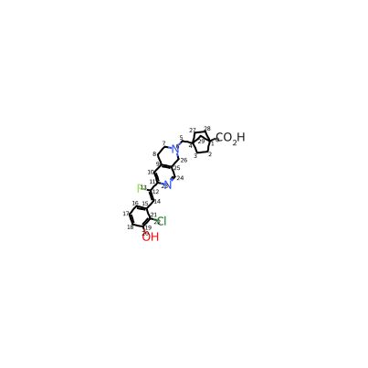 O=C(O)C12CCC(CN3CCc4cc(/C(F)=C/c5cccc(O)c5Cl)ncc4C3)(CC1)C2